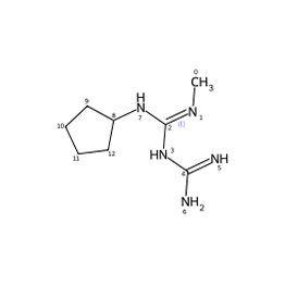 C/N=C(/NC(=N)N)NC1CCCC1